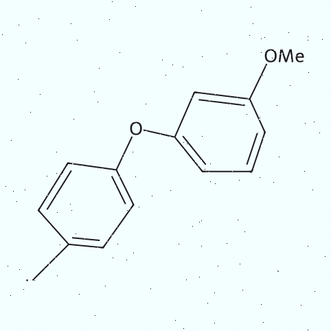 [CH2]c1ccc(Oc2cccc(OC)c2)cc1